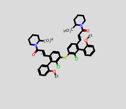 CCOc1ccccc1-c1c(/C=C/C(=O)N2CCCCC2C(=O)O)ccc(Sc2ccc(/C=C/C(=O)N3CCCCC3C(=O)O)c(-c3ccccc3OCC)c2Cl)c1Cl